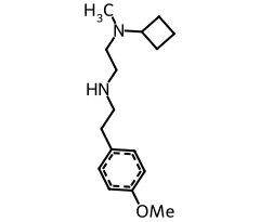 COc1ccc(CCNCCN(C)C2CCC2)cc1